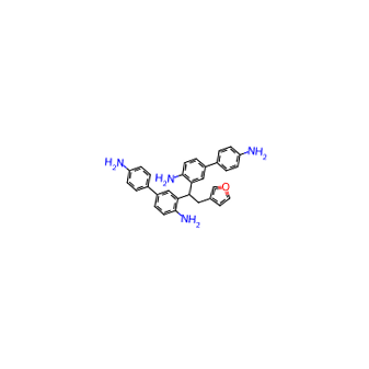 Nc1ccc(-c2ccc(N)c(C(Cc3ccoc3)c3cc(-c4ccc(N)cc4)ccc3N)c2)cc1